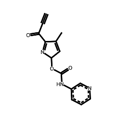 C#CC(=O)C1=NC(OC(=O)Nc2cccnc2)C=C1C